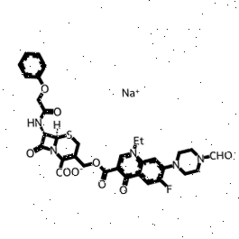 CCn1cc(C(=O)OCC2=C(C(=O)[O-])N3C(=O)[C@@H](NC(=O)COc4ccccc4)[C@H]3SC2)c(=O)c2cc(F)c(N3CCN(C=O)CC3)cc21.[Na+]